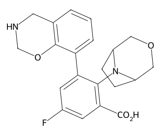 O=C(O)c1cc(F)cc(-c2cccc3c2OCNC3)c1N1C2CCC1COC2